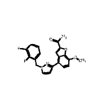 COc1ccc(-c2ccn(Cc3cccc(F)c3F)n2)c2cc(C(C)=O)oc12